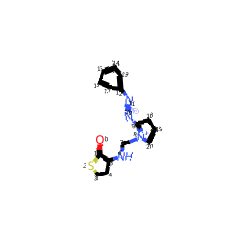 O=C1SCCC1NC[N+]1=C(/N=N/c2ccccc2)CC=C1